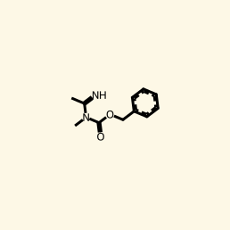 CC(=N)N(C)C(=O)OCc1ccccc1